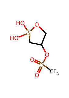 O=S(=O)(OC1COS(O)(O)C1)C(F)(F)F